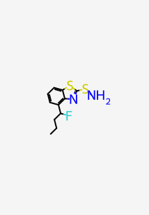 CCCC(F)c1cccc2sc(SN)nc12